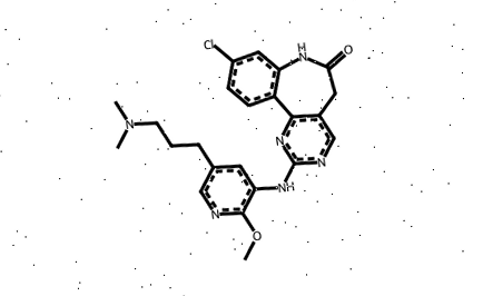 COc1ncc(CCCN(C)C)cc1Nc1ncc2c(n1)-c1ccc(Cl)cc1NC(=O)C2